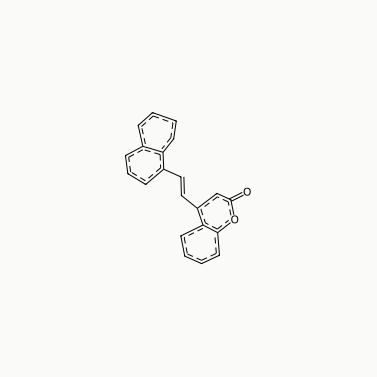 O=c1cc(C=Cc2cccc3ccccc23)c2ccccc2o1